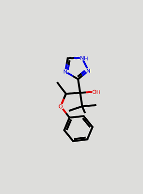 CC(Oc1ccccc1)C(O)(c1nc[nH]n1)C(C)(C)C